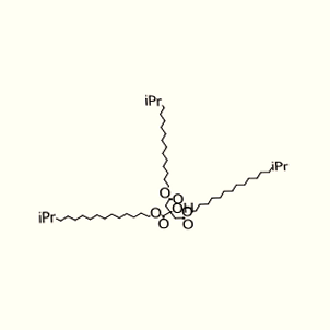 CC(C)CCCCCCCCCCCCCOC(=O)CC(O)(CC(=O)OCCCCCCCCCCCCCC(C)C)C(=O)OCCCCCCCCCCCCCC(C)C